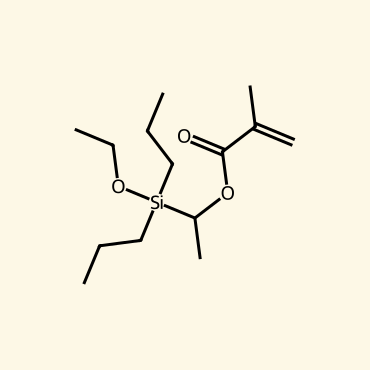 C=C(C)C(=O)OC(C)[Si](CCC)(CCC)OCC